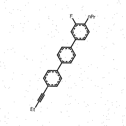 CCC#Cc1ccc(-c2ccc(-c3ccc(CCC)c(F)c3)cc2)cc1